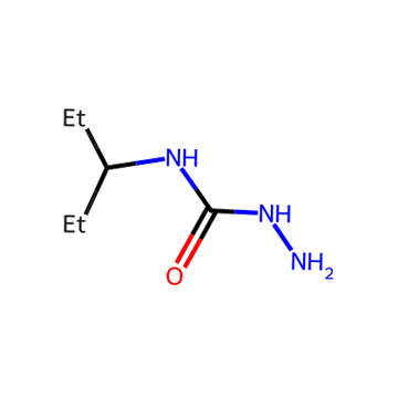 CCC(CC)NC(=O)NN